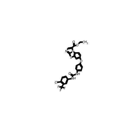 CCOC(=O)c1cnc2sc3cc(Oc4ccc(NC(=O)Nc5ccc(Cl)c(C(F)(F)F)c5)cc4)ccc3n12